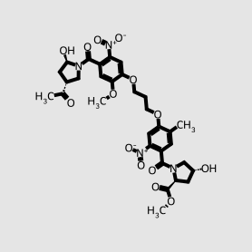 COC(=O)[C@@H]1C[C@@H](O)CN1C(=O)c1cc(C)c(OCCCOc2cc([N+](=O)[O-])c(C(=O)N3C[C@H](C(C)=O)C[C@H]3O)cc2OC)cc1[N+](=O)[O-]